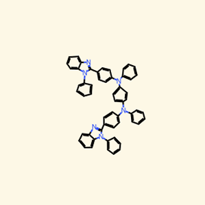 c1ccc(N(c2ccc(-c3nc4ccccc4n3-c3ccccc3)cc2)c2ccc(N(c3ccccc3)c3ccc(-c4nc5ccccc5n4-c4ccccc4)cc3)cc2)cc1